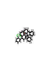 Clc1ccccc1-c1ccc(C2(c3ccccc3)c3ccccc3-c3ccccc32)c2ccccc12